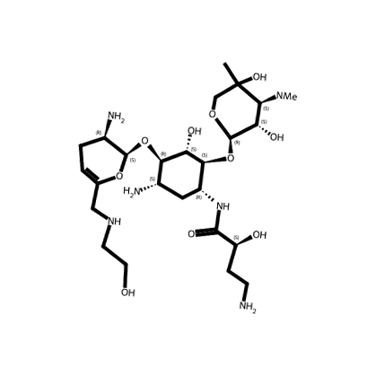 CN[C@H]1[C@H](O)[C@@H](O[C@@H]2[C@@H](O)[C@H](O[C@H]3OC(CNCCO)=CC[C@H]3N)[C@@H](N)C[C@H]2NC(=O)[C@@H](O)CCN)OCC1(C)O